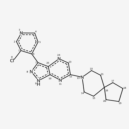 Clc1cnccc1-c1n[nH]c2nc(N3CCC4(CCCC4)CC3)cnc12